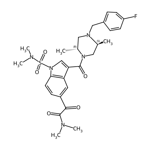 C[C@@H]1CN(Cc2ccc(F)cc2)[C@@H](C)CN1C(=O)c1cn(S(=O)(=O)N(C)C)c2ccc(C(=O)C(=O)N(C)C)cc12